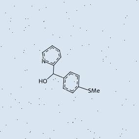 CSc1ccc(C(O)c2ccccn2)cc1